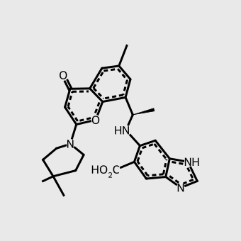 Cc1cc([C@@H](C)Nc2cc3[nH]cnc3cc2C(=O)O)c2oc(N3CCC(C)(C)CC3)cc(=O)c2c1